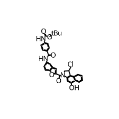 CC(C)(C)OC(=O)Nc1ccc(C(=O)Nc2ccc3oc(C(=O)N4CC(CCl)c5c4cc(O)c4ccccc54)cc3c2)cc1